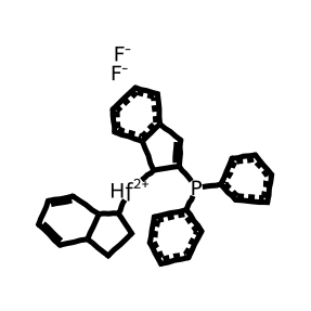 C1=CC2CC[CH]([Hf+2][CH]3C(P(c4ccccc4)c4ccccc4)=Cc4ccccc43)C2C=C1.[F-].[F-]